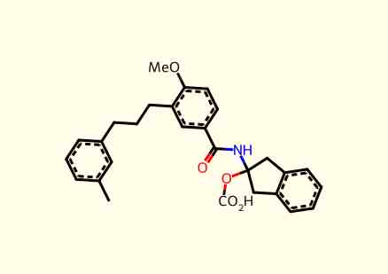 COc1ccc(C(=O)NC2(OC(=O)O)Cc3ccccc3C2)cc1CCCc1cccc(C)c1